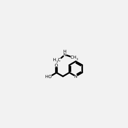 CNC.O=C(O)Cc1ccccn1